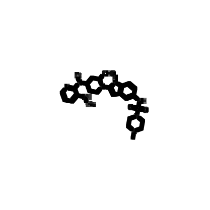 CCN(c1ncccc1NC(C)(C)C)C1CCN(c2cc3cc(NS(=O)(=O)N4CCN(C)CC4)ccc3[nH]2)C(C=O)C1